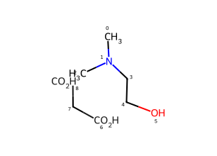 CN(C)CCO.O=C(O)CC(=O)O